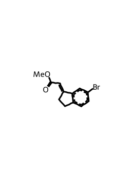 COC(=O)C=C1CCc2ccc(Br)cc21